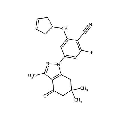 Cc1nn(-c2cc(F)c(C#N)c(NC3CC=CC3)c2)c2c1C(=O)CC(C)(C)C2